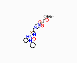 COC(=O)CCS(=O)(=O)N1CCN(Cc2cnc(NC(=O)N(C3CCCCCC3)C3CCCCC3)s2)CC1